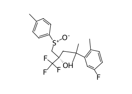 Cc1ccc([S+]([O-])C[C@@](O)(CC(C)(C)c2cc(F)ccc2C)C(F)(F)F)cc1